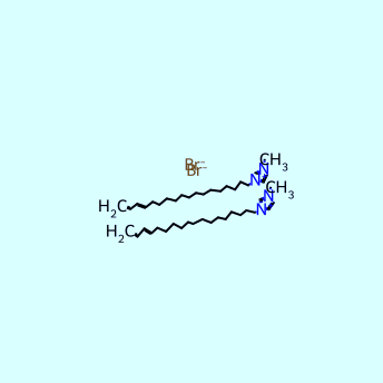 C=CC=CCCCCCCCCCCCCCC[n+]1ccn(C)c1.C=CC=CCCCCCCCCCCCCCC[n+]1ccn(C)c1.[Br-].[Br-]